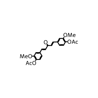 COc1cc(C=CC(=O)C=Cc2ccc(OC(C)=O)c(OC)c2)ccc1OC(C)=O